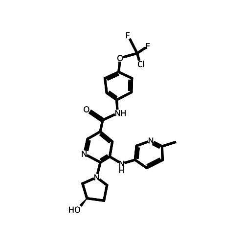 Cc1ccc(Nc2cc(C(=O)Nc3ccc(OC(F)(F)Cl)cc3)cnc2N2CC[C@@H](O)C2)cn1